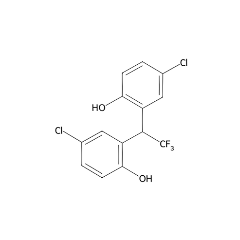 Oc1ccc(Cl)cc1C(c1cc(Cl)ccc1O)C(F)(F)F